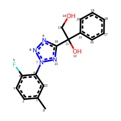 Cc1ccc(F)c(-n2nnc(C(O)(CO)c3ccccc3)n2)c1